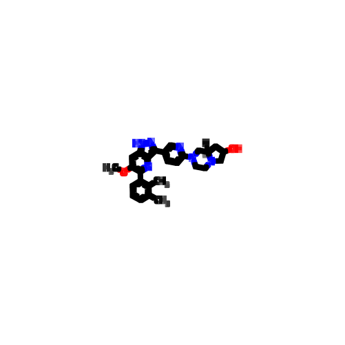 COc1cc2[nH]nc(-c3ccc(N4CCN5CC(O)C[C@H]5C4)nc3)c2nc1-c1cccc(C)c1C